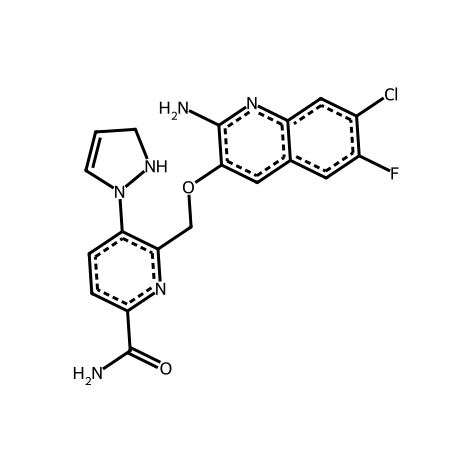 NC(=O)c1ccc(N2C=CCN2)c(COc2cc3cc(F)c(Cl)cc3nc2N)n1